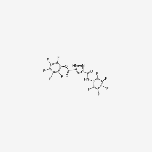 O=C(Nc1c(F)c(F)c(F)c(F)c1F)c1cc(C(=O)Oc2c(F)c(F)c(F)c(F)c2F)[nH]n1